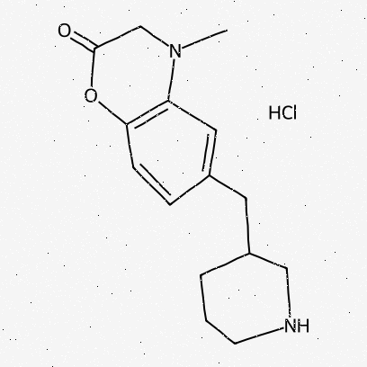 CN1CC(=O)Oc2ccc(CC3CCCNC3)cc21.Cl